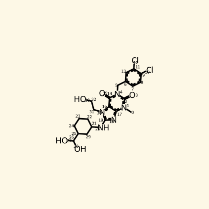 Cn1c(=O)n(Cc2ccc(Cl)c(Cl)c2)c(=O)c2c1nc(NC1CCCC(C(O)O)C1)n2CCO